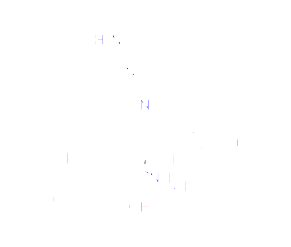 Nc1cccc(N2CCC([C@@H](N)c3cc(Cl)c(Cl)cc3O)CC2)n1.O=C(O)C(F)(F)F